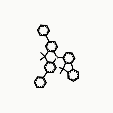 CC1(C)c2cc(-c3ccccc3)ccc2N(c2cccc3c2C(C)(C)c2ccccc2-3)c2ccc(-c3ccccc3)cc21